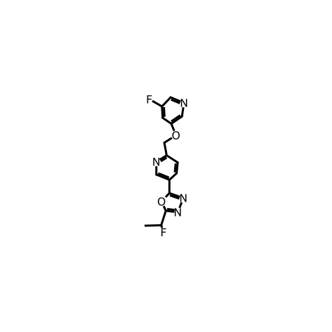 CC(F)c1nnc(-c2ccc(COc3cncc(F)c3)nc2)o1